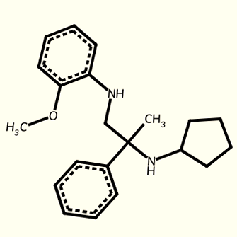 COc1ccccc1NCC(C)(NC1CCCC1)c1ccccc1